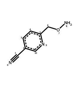 N#Cc1ccc(CON)nc1